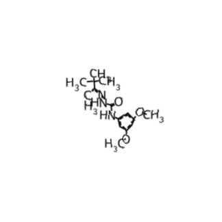 COc1cc(NC(=O)N/N=C(\C)C(C)(C)C)cc(OC)c1